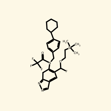 C[Si](C)(C)CCOC(F)C1=C(N(Cc2ccc(C3CCCCC3)cc2)C(=O)C(F)(F)F)CC2=NN=CC2=C1